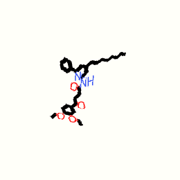 CCCCCC/C=C/c1cc(NC(=O)CCC(=O)c2ccc(OCC)c(OCC)c2)nc(-c2ccccc2)c1